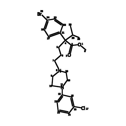 COC(=O)C(CCCN1CCN(c2cccc(Cl)c2)CC1)(c1ccc(Br)cc1)C(C)C